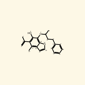 C=C(C)c1c(O)c(OC(C)CCc2ccccc2)c2occc2c1C